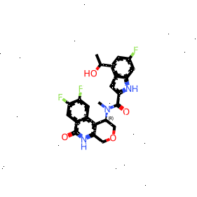 CC(O)c1cc(F)cc2[nH]c(C(=O)N(C)[C@H]3COCc4[nH]c(=O)c5cc(F)c(F)cc5c43)cc12